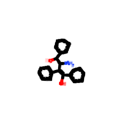 NC(C(=C(O)c1ccccc1)c1ccccc1)C(O)c1ccccc1